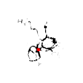 CCCCOc1c(C#N)cccc1C1=C[C@H]2CC[C@@H](C1)N2C(=O)OC(C)(C)C